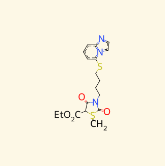 C=S1C(=O)N(CCCCSc2cccc3nccn23)C(=O)C1C(=O)OCC